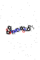 CCNC(=O)C1(CCCCN2CCN(c3ccc4c(c3)C(=O)N(Cc3cccc(C)c3)CC4)CC2)c2ccccc2Oc2ccccc21